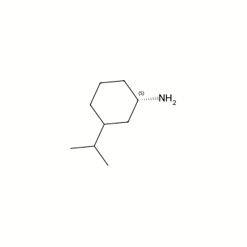 CC(C)C1CCC[C@H](N)C1